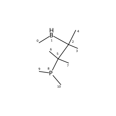 CBC(C)(C)C(C)(C)P(C)C